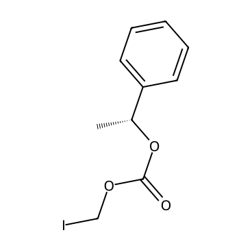 C[C@@H](OC(=O)OCI)c1ccccc1